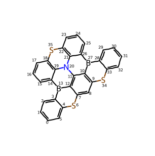 c1ccc2c(c1)Sc1cc3c4c5c1B2c1cccc2c1N5c1c(cccc1B4c1ccccc1S3)S2